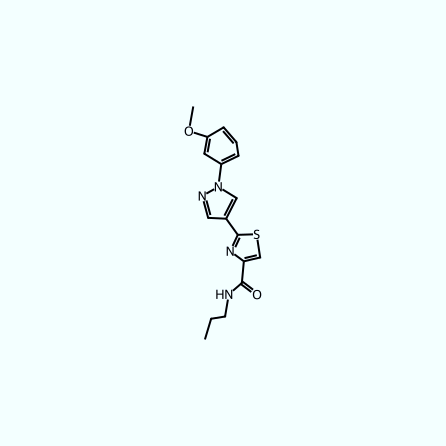 CCCNC(=O)c1csc(-c2cnn(-c3cccc(OC)c3)c2)n1